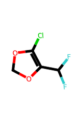 FC(F)C1=C(Cl)OCO1